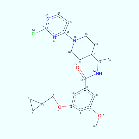 COc1cc(OCC2CC2)cc(C(=O)NC(C)C2CCN(c3ccnc(Cl)n3)CC2)c1